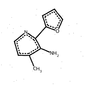 Cc1ccnc(-c2ccco2)c1N